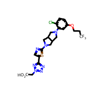 O=C(O)Cn1nnc(-c2cnc(N3CC4CN(c5cc(OCCC(F)(F)F)ccc5Cl)CC4C3)s2)n1